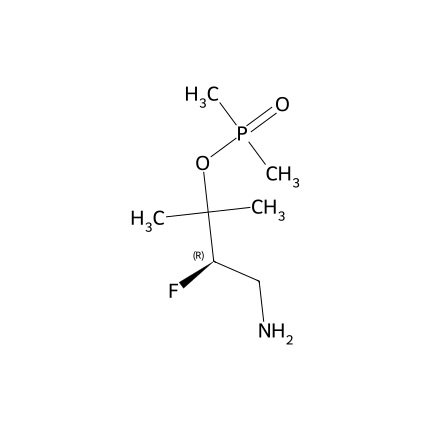 CC(C)(OP(C)(C)=O)[C@H](F)CN